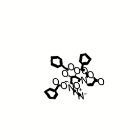 CC(=O)/C=C\N(C(C)=O)[C@@H]1O[C@@](COC(=O)c2ccccc2)(N=[N+]=[N-])[C@@H](OC(=O)c2ccccc2)[C@H]1OC(=O)c1ccccc1